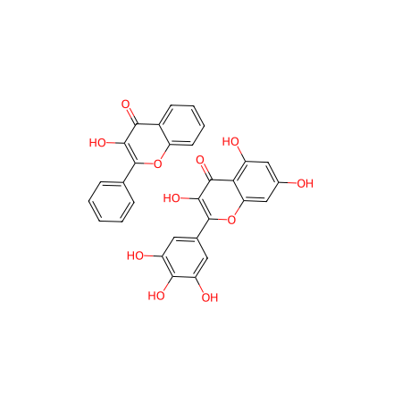 O=c1c(O)c(-c2cc(O)c(O)c(O)c2)oc2cc(O)cc(O)c12.O=c1c(O)c(-c2ccccc2)oc2ccccc12